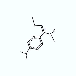 CC/C=C(\c1ccc(NC)cn1)N(C)C